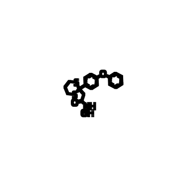 O=C(CC1(c2ccc(Oc3ccccc3)cc2)SCCCS1)NO